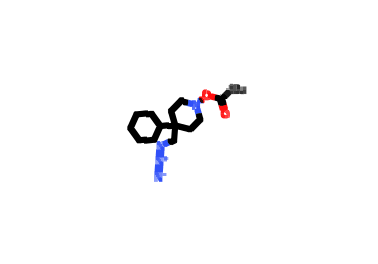 CC(C)(C)C(=O)ON1CCC(CN=[N+]=[N-])(C2CCCCC2)CC1